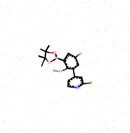 COc1c(B2OC(C)(C)C(C)(C)O2)cc(Br)cc1-c1ccnc(F)c1